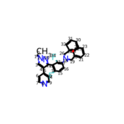 CCn1cc(-c2ccncc2)c(-c2c(F)ccc(N(Cc3ccccc3)Cc3ccccc3)c2F)n1